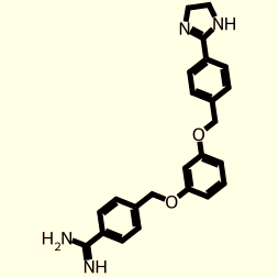 N=C(N)c1ccc(COc2cccc(OCc3ccc(C4=NCCN4)cc3)c2)cc1